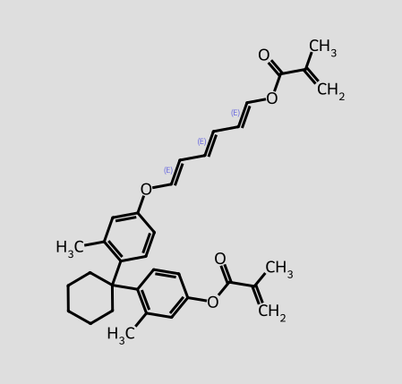 C=C(C)C(=O)O/C=C/C=C/C=C/Oc1ccc(C2(c3ccc(OC(=O)C(=C)C)cc3C)CCCCC2)c(C)c1